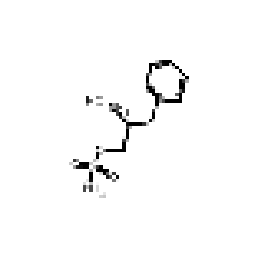 Cl.NC(COS(N)(=O)=O)Cc1ccccc1